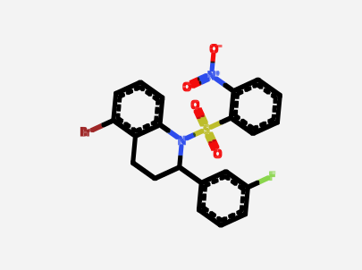 O=[N+]([O-])c1ccccc1S(=O)(=O)N1c2cccc(Br)c2CCC1c1cccc(F)c1